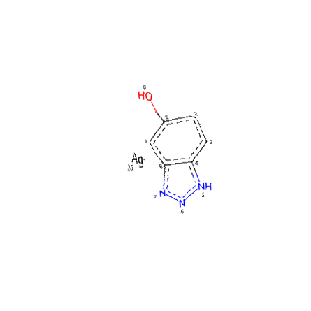 Oc1ccc2[nH]nnc2c1.[Ag]